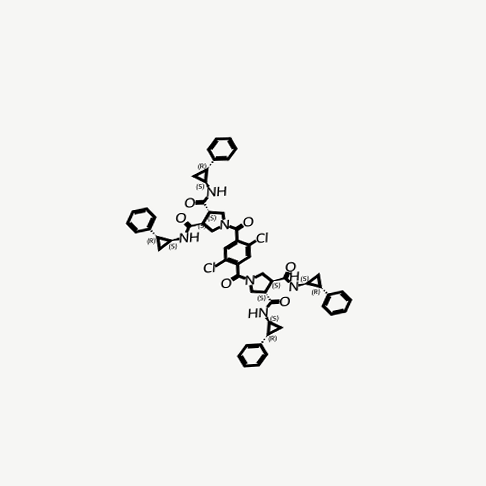 O=C(N[C@H]1C[C@@H]1c1ccccc1)[C@@H]1CN(C(=O)c2cc(Cl)c(C(=O)N3C[C@@H](C(=O)N[C@H]4C[C@@H]4c4ccccc4)[C@H](C(=O)N[C@H]4C[C@@H]4c4ccccc4)C3)cc2Cl)C[C@H]1C(=O)N[C@H]1C[C@@H]1c1ccccc1